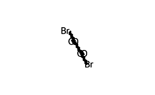 O=C(CCCCCBr)OCCCCCCOC(=O)CCCCCBr